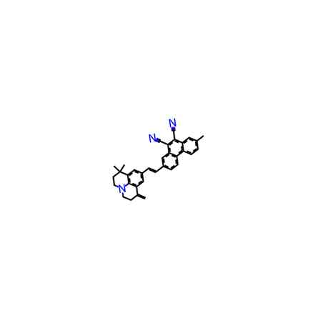 C=C1CCN2CCC(C)(C)c3cc(C=Cc4ccc5c(c4)c(C#N)c(C#N)c4cc(C)ccc45)cc1c32